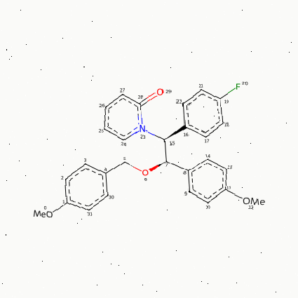 COc1ccc(CO[C@H](c2ccc(OC)cc2)[C@H](c2ccc(F)cc2)n2ccccc2=O)cc1